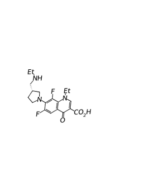 CCNC[C@H]1CCN(c2c(F)cc3c(=O)c(C(=O)O)cn(CC)c3c2F)C1